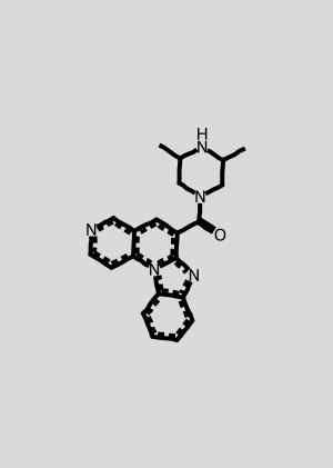 CC1CN(C(=O)c2cc3cnccc3n3c2nc2ccccc23)CC(C)N1